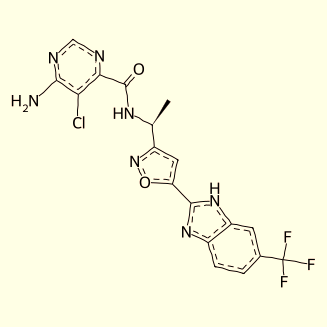 C[C@H](NC(=O)c1ncnc(N)c1Cl)c1cc(-c2nc3ccc(C(F)(F)F)cc3[nH]2)on1